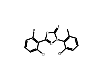 Cc1cccc(Cl)c1-n1nc(-c2c(F)cccc2Cl)oc1=S